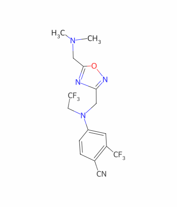 CN(C)Cc1nc(CN(CC(F)(F)F)c2ccc(C#N)c(C(F)(F)F)c2)no1